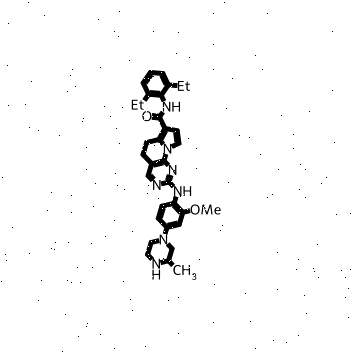 CCc1cccc(CC)c1NC(=O)c1ccn2c1CCc1cnc(Nc3ccc(N4CCNC(C)C4)cc3OC)nc1-2